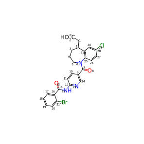 O=C(O)CC1CCCN(C(=O)c2ccc(NC(=O)c3ccccc3Br)nc2)c2ccc(Cl)cc21